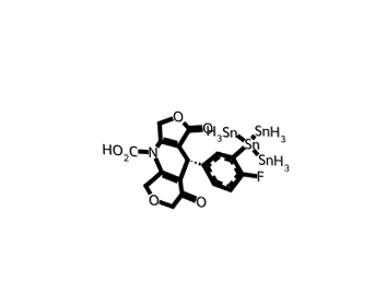 O=C1COCC2=C1[C@@H](c1ccc(F)[c]([Sn]([SnH3])([SnH3])[SnH3])c1)C1=C(COC1=O)N2C(=O)O